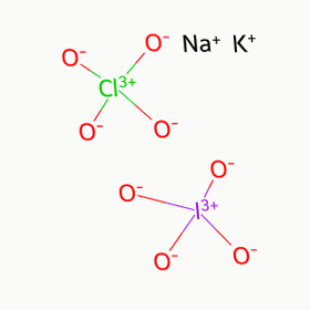 [K+].[Na+].[O-][Cl+3]([O-])([O-])[O-].[O-][I+3]([O-])([O-])[O-]